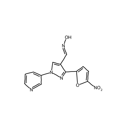 O=[N+]([O-])c1ccc(-c2nn(-c3cccnc3)cc2C=NO)o1